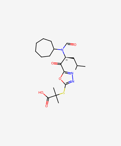 CC(C)C[C@@H](C(=O)c1nnc(SC(C)(C)C(=O)O)o1)N(C=O)C1CCCCCC1